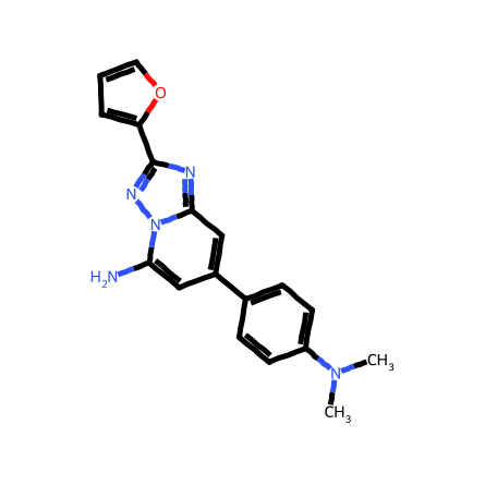 CN(C)c1ccc(-c2cc(N)n3nc(-c4ccco4)nc3c2)cc1